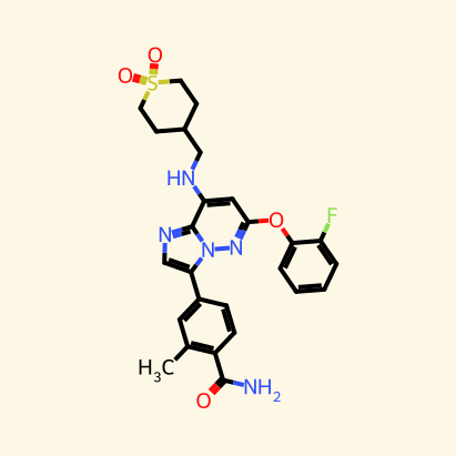 Cc1cc(-c2cnc3c(NCC4CCS(=O)(=O)CC4)cc(Oc4ccccc4F)nn23)ccc1C(N)=O